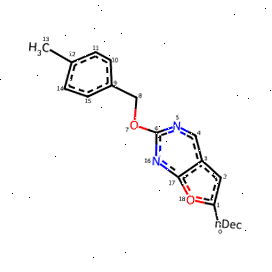 CCCCCCCCCCc1cc2cnc(OCc3ccc(C)cc3)nc2o1